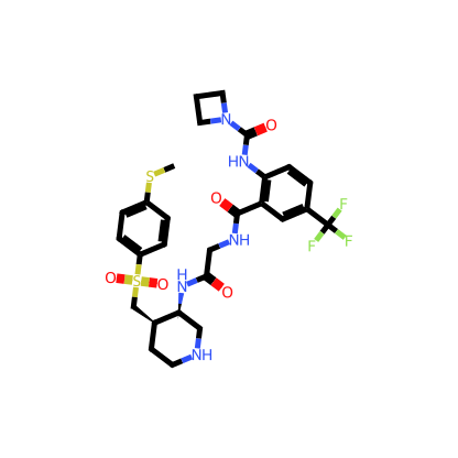 CSc1ccc(S(=O)(=O)C[C@@H]2CCNC[C@@H]2NC(=O)CNC(=O)c2cc(C(F)(F)F)ccc2NC(=O)N2CCC2)cc1